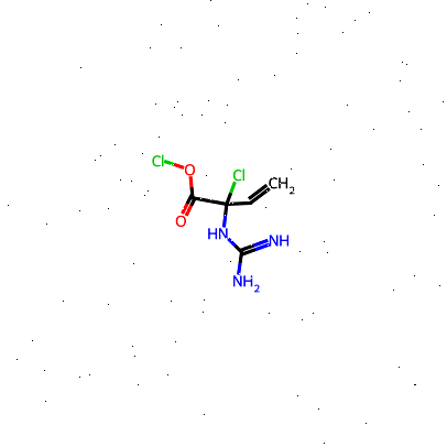 C=CC(Cl)(NC(=N)N)C(=O)OCl